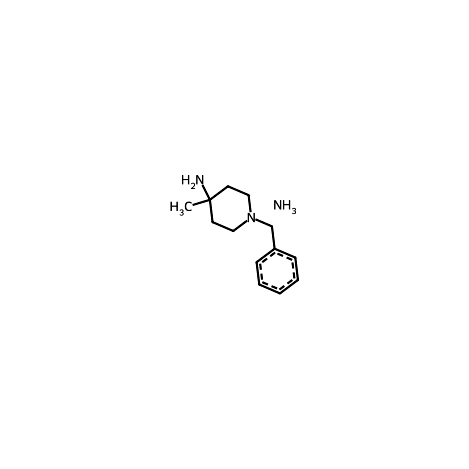 CC1(N)CCN(Cc2ccccc2)CC1.N